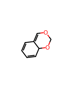 C1=CC2=COCOC2C=C1